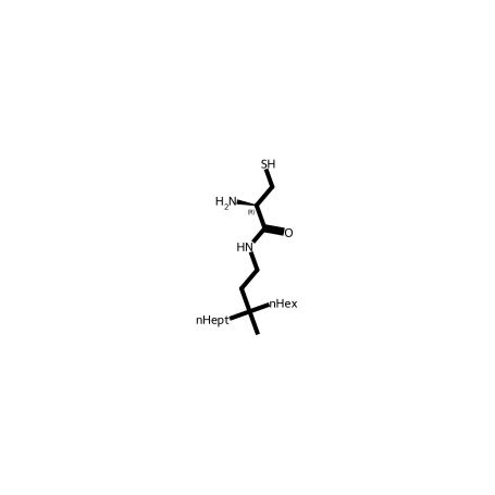 CCCCCCCC(C)(CCCCCC)CCNC(=O)[C@@H](N)CS